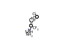 NC(=S)N/N=C/c1ccc(N2CCCN(Cc3c(F)cccc3Cl)CC2)cc1C(F)(F)F